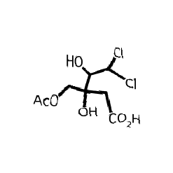 CC(=O)OCC(O)(CC(=O)O)C(O)C(Cl)Cl